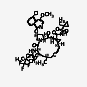 COc1cnc(O[C@@H]2C[C@H]3C(=O)N[C@]4(C(=O)NS(=O)(=O)C5(C)CC5)C[C@H]4C=CCC[C@@H](C)C[C@@H](C)[C@H](NC(=O)OC(C)(C)C(F)(F)F)C(=O)N3C2)c2cccc(Cl)c12